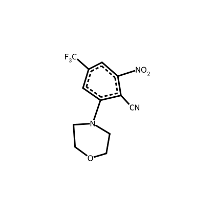 N#Cc1c(N2CCOCC2)cc(C(F)(F)F)cc1[N+](=O)[O-]